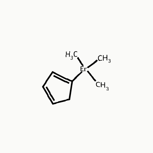 [CH3][Er]([CH3])([CH3])[C]1=CC=CC1